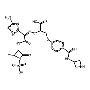 C[C@H]1[C@H](NC(=O)/C(=N\OC(COc2ccc(C(=N)NC3CNC3)cc2)C(=O)O)c2nsc(N)n2)C(=O)N1S(=O)(=O)O